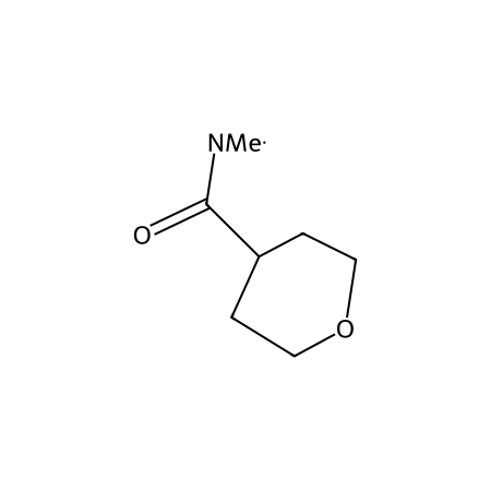 C[N]C(=O)C1CCOCC1